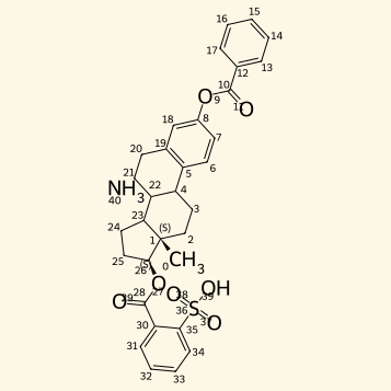 C[C@]12CCC3c4ccc(OC(=O)c5ccccc5)cc4CCC3C1CC[C@@H]2OC(=O)c1ccccc1S(=O)(=O)O.N